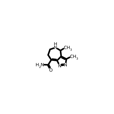 CC1=C2C(=C(C(N)=O)CCNC2C)N=N1